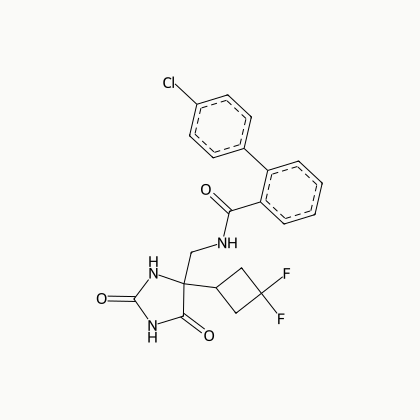 O=C1NC(=O)C(CNC(=O)c2ccccc2-c2ccc(Cl)cc2)(C2CC(F)(F)C2)N1